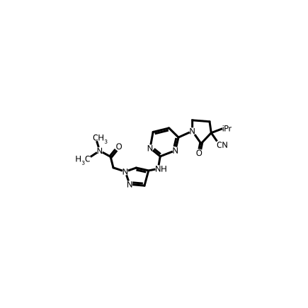 CC(C)C1(C#N)CCN(c2ccnc(Nc3cnn(CC(=O)N(C)C)c3)n2)C1=O